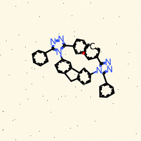 c1ccc(-c2nnc(-c3ccccc3)n2-c2ccc3c(c2)-c2cc(-n4c(-c5ccccc5)nnc4-c4ccccc4)ccc2C3)cc1